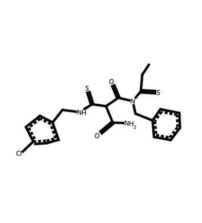 CCC(=S)N(Cc1ccccc1)C(=O)C(C(N)=O)C(=S)NCc1ccc(Cl)cc1